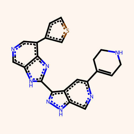 C1=C(c2cc3c(-c4nc5c(-c6ccsc6)cncc5[nH]4)n[nH]c3cn2)CCNC1